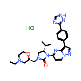 CCN1CCO[C@@H](CN2C[C@H](C(C)C)N(c3ccn4ncc(-c5ccc(-c6nc[nH]n6)cc5)c4n3)C2=O)C1.Cl